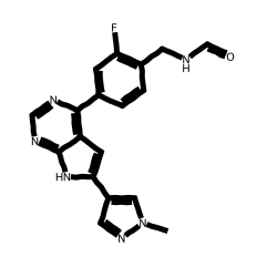 Cn1cc(-c2cc3c(-c4ccc(CNC=O)c(F)c4)ncnc3[nH]2)cn1